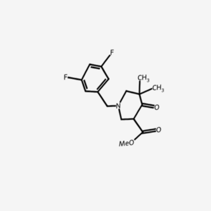 COC(=O)C1CN(Cc2cc(F)cc(F)c2)CC(C)(C)C1=O